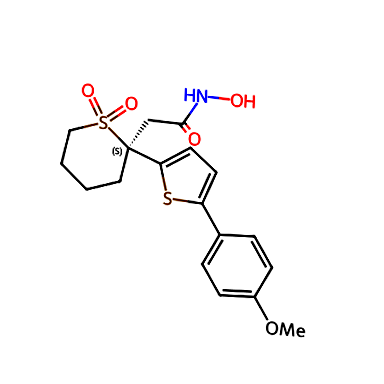 COc1ccc(-c2ccc([C@@]3(CC(=O)NO)CCCCS3(=O)=O)s2)cc1